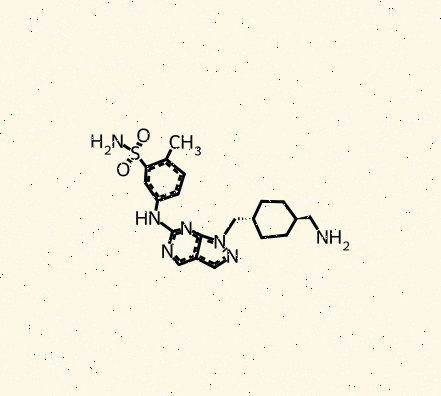 Cc1ccc(Nc2ncc3cnn(C[C@H]4CC[C@H](CN)CC4)c3n2)cc1S(N)(=O)=O